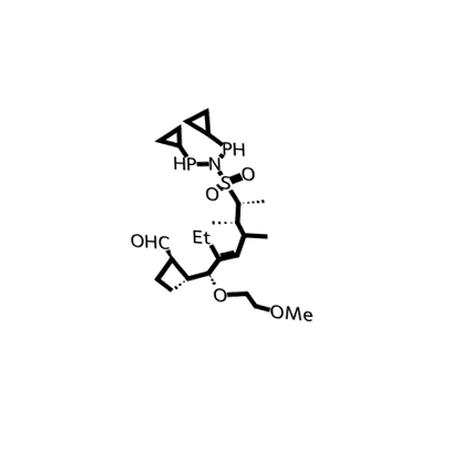 CC/C(=C\C(C)[C@H](C)[C@@H](C)S(=O)(=O)N(PC1CC1)PC1CC1)[C@H](OCCOC)[C@@H]1CC[C@H]1C=O